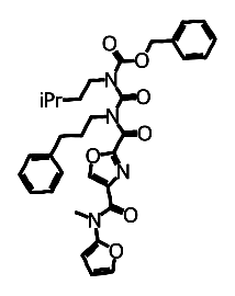 CC(C)CCN(C(=O)OCc1ccccc1)C(=O)N(CCCc1ccccc1)C(=O)c1nc(C(=O)N(C)c2ccco2)co1